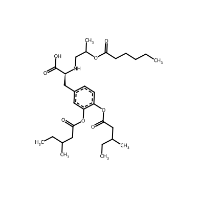 CCCCCC(=O)OC(C)CN[C@@H](Cc1ccc(OC(=O)CC(C)CC)c(OC(=O)CC(C)CC)c1)C(=O)O